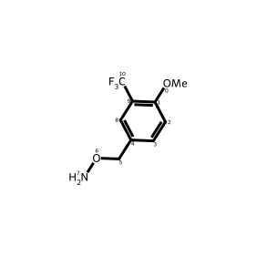 COc1ccc(CON)cc1C(F)(F)F